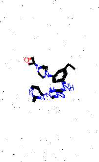 CCc1cc(Nc2ncn(-c3ccnc(C)n3)n2)cc(N2CCN(C3COC3)CC2)c1